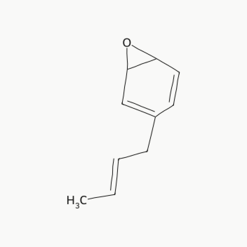 CC=CCC1=CC2OC2C=C1